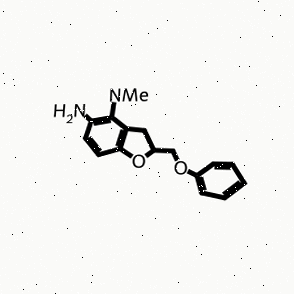 CNc1c(N)ccc2c1CC(COc1ccccc1)O2